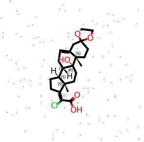 C[C@]12CCC3(CC1=CC[C@H]1[C@@H]4CC/C(=C(\Cl)C(=O)O)[C@@]4(C)CC[C@@]12O)OCCO3